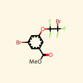 COC(=O)c1cc(Br)cc(OC(F)(F)C(F)(F)Br)c1